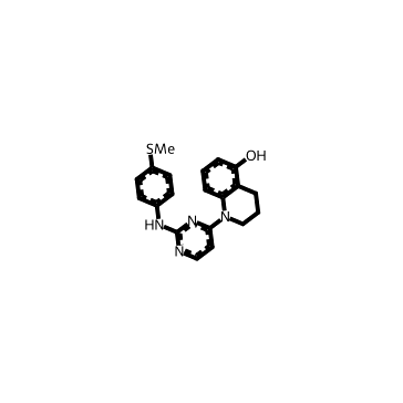 CSc1ccc(Nc2nccc(N3CCCc4c(O)cccc43)n2)cc1